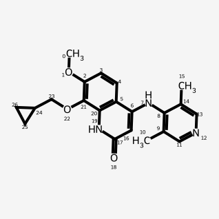 COc1ccc2c(Nc3c(C)cncc3C)cc(=O)[nH]c2c1OCC1CC1